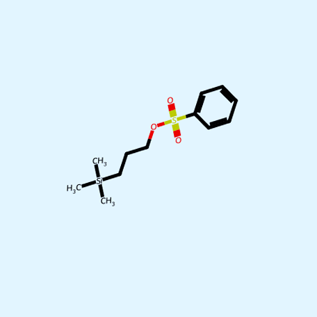 C[Si](C)(C)CCCOS(=O)(=O)c1ccccc1